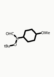 COC1CCC(N(C=O)OC(C)(C)C)CC1